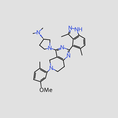 COc1ccc(C)c(N2CCc3nc(-c4c(C)ccc5[nH]nc(C)c45)nc(N4CC[C@@H](N(C)C)C4)c3C2)c1